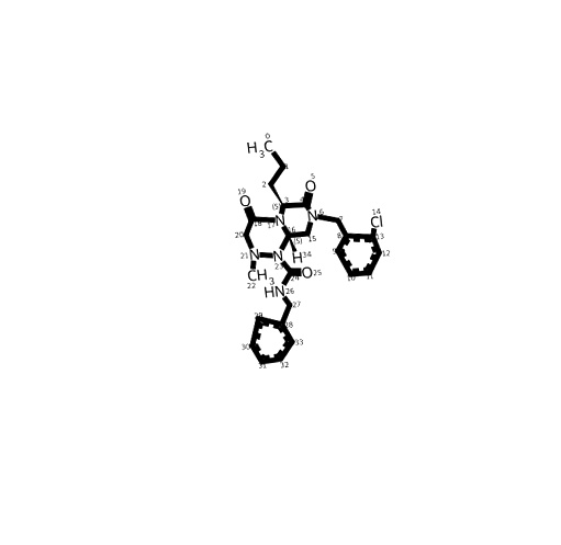 CCC[C@H]1C(=O)N(Cc2ccccc2Cl)C[C@H]2N1C(=O)CN(C)N2C(=O)NCc1ccccc1